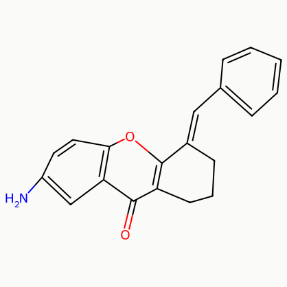 Nc1ccc2oc3c(c(=O)c2c1)CCCC3=Cc1ccccc1